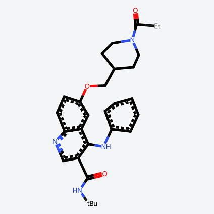 CCC(=O)N1CCC(COc2ccc3ncc(C(=O)NC(C)(C)C)c(Nc4ccccc4)c3c2)CC1